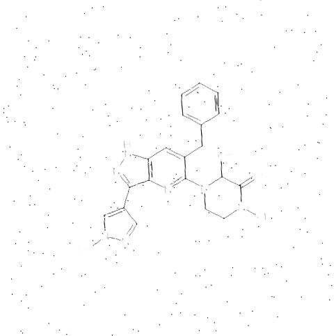 CC1C(=O)N(C)CCN1c1nc2c(-c3cnn(C)c3)n[nH]c2cc1Cc1ccccc1